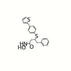 O=C(CC(Cc1ccccc1)Sc1ccc(-c2cccs2)cc1)NO